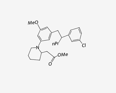 CCCC(Cc1cc(OC)cc(N2CCCCC2CC(=O)OC)c1)c1cccc(Cl)c1